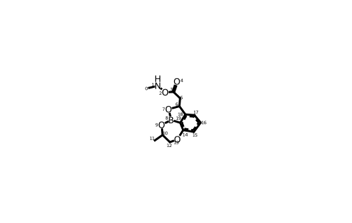 CNOC(=O)CC1OB2OC(C)COc3cccc1c32